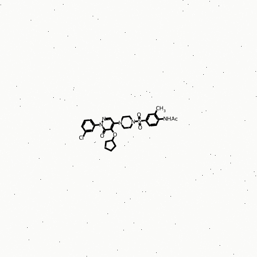 CC(=O)Nc1ccc(S(=O)(=O)N2CCN(c3cnn(-c4cccc(Cl)c4)c(=O)c3OC3CCCC3)CC2)cc1C